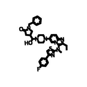 CCc1nc2ccc(N3CCN(C(O)C4CC(=O)N(Cc5ccccc5)C4)CC3)cn2c1N(C)c1nc(-c2ccc(F)cc2)cs1